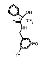 O=C(NCc1cc(C(F)(F)F)c[n+]([O-])c1)[C@](O)(c1ccccc1)C(F)(F)F